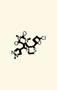 Cn1cc(-c2c3c(=O)n(C)c(=O)n(C)c3c3n2CCSC3c2ccc(Cl)o2)cn1